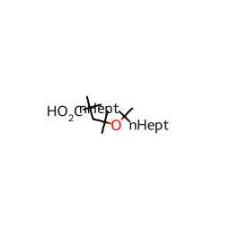 CCCCCCCC(C)(CCCCCCC)OC(C)(C)CC(C)(C)C(=O)O